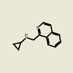 c1ccc2c(CNC3CC3)nccc2c1